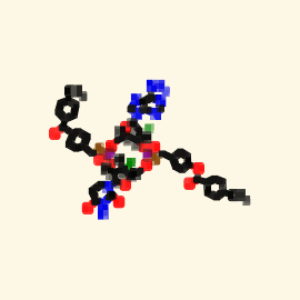 Cc1ccc(C(=O)Oc2ccc(CSP3(=O)OC[C@H]4O[C@@H](n5ccc(=O)[nH]c5=O)[C@H](OP(=O)(SCc5ccc(C(=O)c6ccc(C)cc6)cc5)OC[C@H]5O[C@@H](n6cnc7c(N)ncnc76)[C@H](F)[C@@H]5O3)[C@@H]4F)cc2)cc1